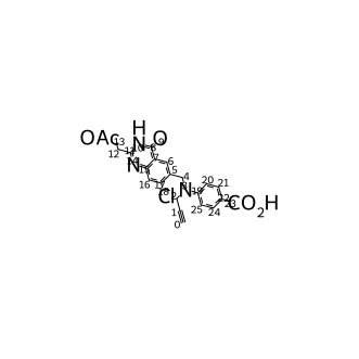 C#CCN(Cc1cc2c(=O)[nH]c(COC(C)=O)nc2cc1Cl)c1ccc(C(=O)O)cc1